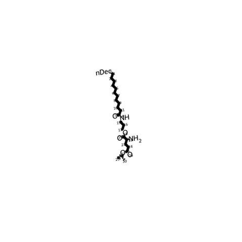 CCCCCCCCCCCCCCCCCCCCCC(=O)NCCCOC(=O)[C@@H](N)CCC(=O)ON(C)C